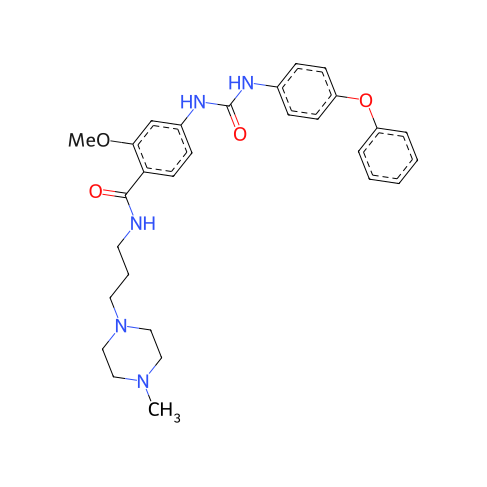 COc1cc(NC(=O)Nc2ccc(Oc3ccccc3)cc2)ccc1C(=O)NCCCN1CCN(C)CC1